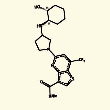 CNC(=O)c1csc2c(C(F)(F)F)cc(N3CCC(N[C@@H]4CCCC[C@H]4O)C3)nc12